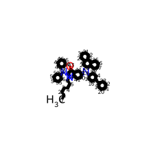 CC/C=C\C=C/Cn1c2c(c3cc(N(c4ccc(-c5ccccc5)cc4)c4cc5ccccc5c5ccccc45)ccc31)Oc1ccccc1N2c1ccccc1